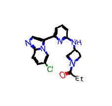 CCC(=O)N1CC(Nc2cccc(-c3cnc4ccc(Cl)cn34)n2)C1